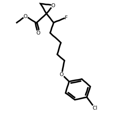 COC(=O)C1(C(F)CCCCOc2ccc(Cl)cc2)CO1